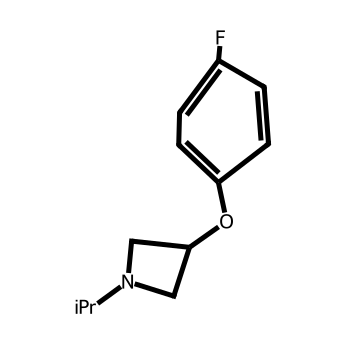 CC(C)N1CC(Oc2ccc(F)cc2)C1